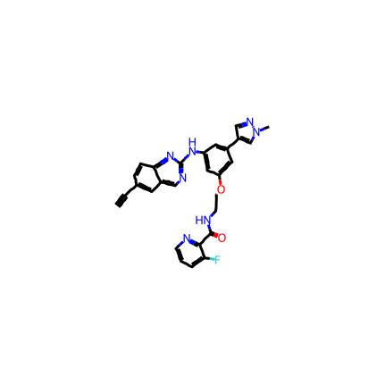 C#Cc1ccc2nc(Nc3cc(OCCNC(=O)c4ncccc4F)cc(-c4cnn(C)c4)c3)ncc2c1